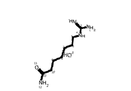 Cl.N=C(N)NCCCCCCC(N)=O